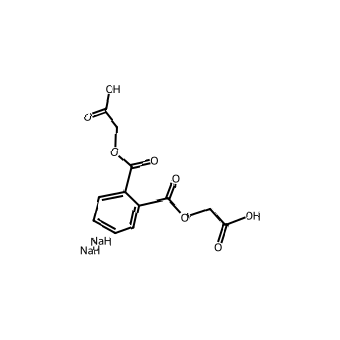 O=C(O)COC(=O)c1ccccc1C(=O)OCC(=O)O.[NaH].[NaH]